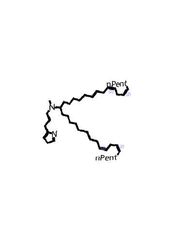 CCCCC/C=C\C/C=C\CCCCCCCCC(CCCCCCCC/C=C\C/C=C\CCCCC)N(C)CCCC1=CCC=N1